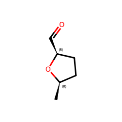 C[C@@H]1CC[C@H](C=O)O1